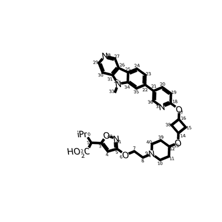 CC(C)C(C(=O)O)c1cc(OCCN2CCC(OC3CC(Oc4ccc(-c5ccc6c7cnccc7n(C)c6c5)cn4)C3)CC2)no1